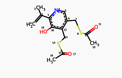 C=C(C)c1ncc(CSC(C)=O)c(CSC(C)=O)c1O